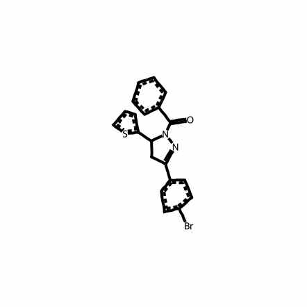 O=C(c1ccccc1)N1N=C(c2ccc(Br)cc2)CC1c1cccs1